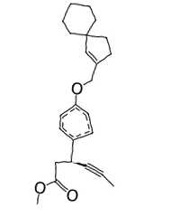 CC#C[C@@H](CC(=O)OC)c1ccc(OCC2=CC3(CCCCC3)CC2)cc1